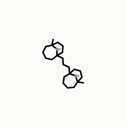 CC12BC(CCCC34BC(C)(CCCC3)CCC4)(CCCC1)CCC2